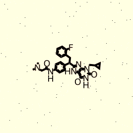 CN(C)CC(=O)Nc1ccc(C(Cc2ccccc2F)c2nc3c([nH]2)c(=O)[nH]c(=O)n3CC2CC2)cc1